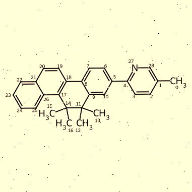 Cc1ccc(-c2ccc3c(c2)C(C)(C)C(C)(C)c2c-3ccc3ccccc23)nc1